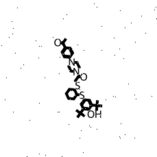 CC(=O)c1ccc(N2CCN(C(=O)CSC3CCCCC3Sc3cc(C(C)(C)C)c(O)c(C(C)(C)C)c3)CC2)cc1